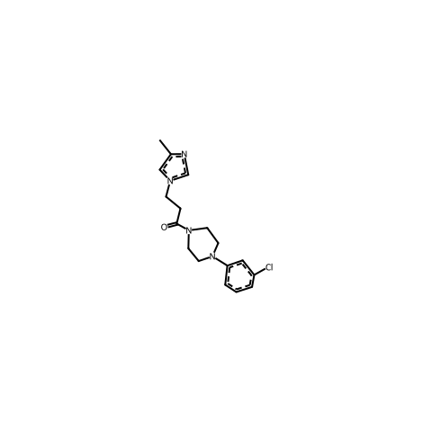 Cc1cn(CCC(=O)N2CCN(c3cccc(Cl)c3)CC2)cn1